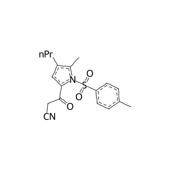 CCCc1cc(C(=O)CC#N)n(S(=O)(=O)c2ccc(C)cc2)c1C